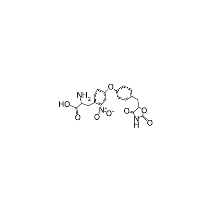 NC(Cc1ccc(Oc2ccc(CC3OC(=O)NC3=O)cc2)cc1[N+](=O)[O-])C(=O)O